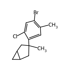 Cc1cc(C2(C)CC3CC3C2)c(Cl)cc1Br